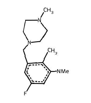 CNc1cc(F)cc(CN2CCN(C)CC2)c1C